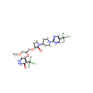 COCC(CO[C@H]1CCN(C2CCN(c3ncc(C(F)(F)F)cn3)CC2)C1=O)Oc1cn[nH]c(=O)c1C(F)(F)F